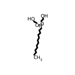 CCCCCCCCCCCCCN(OCCO)OCCO